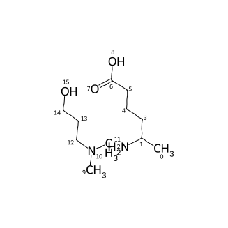 CC(N)CCCC(=O)O.CN(C)CCCO